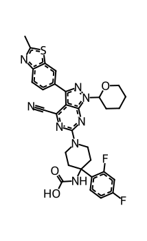 Cc1nc2ccc(-c3nn(C4CCCCO4)c4nc(N5CCC(NC(=O)O)(c6ccc(F)cc6F)CC5)nc(C#N)c34)cc2s1